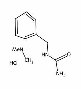 CNC.Cl.NC(=O)NCc1ccccc1